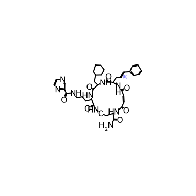 NC(=O)C1CCNC(=O)C(CCCNC(=O)c2cnccn2)NC(=O)C(CC2CCCCC2)NC(=O)C(C/C=C/c2ccccc2)NC(=O)C=CC(=O)N1